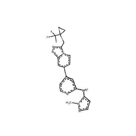 Cn1nccc1Nc1cc(-c2ccn3c(CC4(C(F)(F)F)CC4)nnc3c2)ccn1